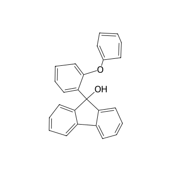 OC1(c2ccccc2Oc2ccccc2)c2ccccc2-c2ccccc21